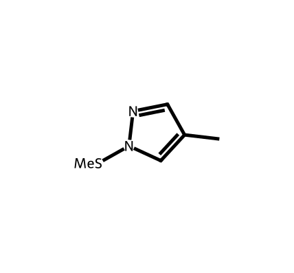 CSn1cc(C)cn1